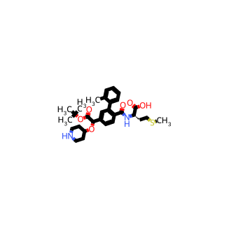 CSCC[C@H](NC(=O)c1ccc(C(OC2CCNCC2)C(=O)OC(C)(C)C)cc1-c1ccccc1C)C(=O)O